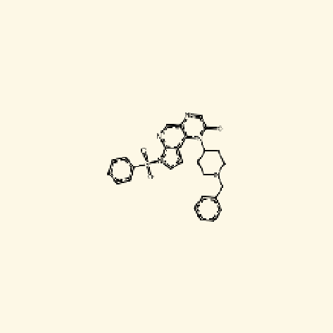 O=c1cnc2cnc3c(ccn3S(=O)(=O)c3ccccc3)c2n1C1CCN(Cc2ccccc2)CC1